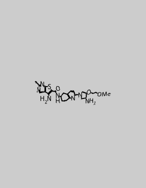 COCCOC1CN(c2ccc3c(n2)CCC(NC(=O)c2sc4nc(C)ncc4c2N)C3)CC1N